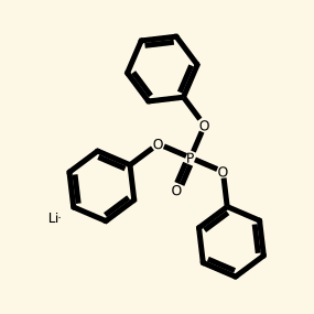 O=P(Oc1ccccc1)(Oc1ccccc1)Oc1ccccc1.[Li]